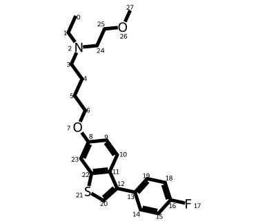 CCN(CCCCOc1ccc2c(-c3ccc(F)cc3)csc2c1)CCOC